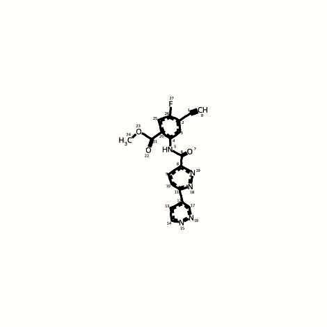 C#Cc1cc(NC(=O)c2ccc(-c3ccnnc3)nn2)c(C(=O)OC)cc1F